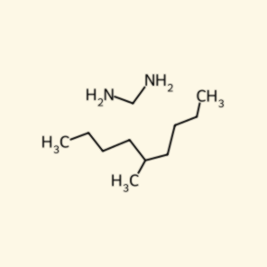 CCCCC(C)CCCC.NCN